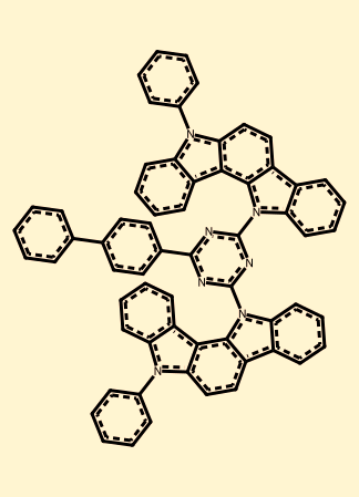 c1ccc(-c2ccc(-c3nc(-n4c5ccccc5c5ccc6c(c7ccccc7n6-c6ccccc6)c54)nc(-n4c5ccccc5c5ccc6c(c7ccccc7n6-c6ccccc6)c54)n3)cc2)cc1